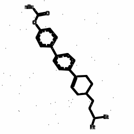 CCCCC(=O)Oc1ccc(-c2ccc(C3=CCC(CCC(CC)CC)CC3)cc2)cc1